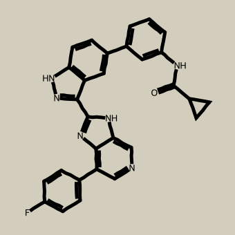 O=C(Nc1cccc(-c2ccc3[nH]nc(-c4nc5c(-c6ccc(F)cc6)cncc5[nH]4)c3c2)c1)C1CC1